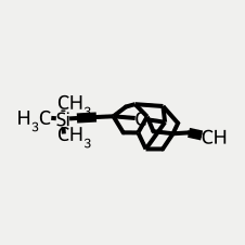 C#CC12CC3C4CC5(C#C[Si](C)(C)C)CC3C(C1)C(C5)C4C2